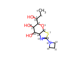 CC[C@H](O)C1OC2SC(N3CCC3)=NC2C(O)C1O